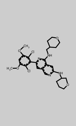 COc1cc(OC)c(Cl)c(-c2cc3cnc(NC4CCCOC4)cc3c(NCC3CCOCC3)n2)c1Cl